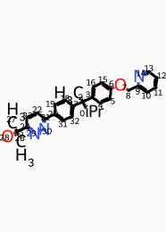 CC(C)C(C)(c1ccc(OCc2ccccn2)cc1)c1ccc(-c2ccc(C(C)(C)O)nn2)cc1